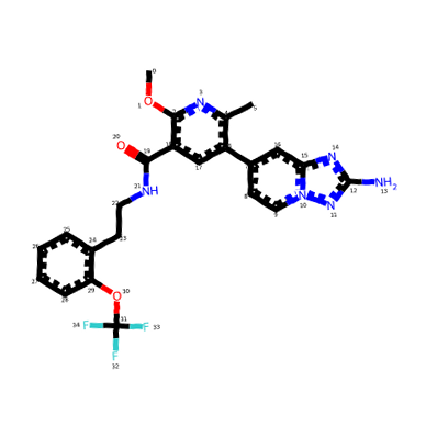 COc1nc(C)c(-c2ccn3nc(N)nc3c2)cc1C(=O)NCCc1ccccc1OC(F)(F)F